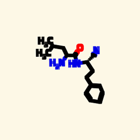 CC(C)C[C@H](N)C(=O)N[C@H](C#N)CCc1ccccc1